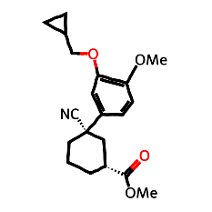 COC(=O)[C@@H]1CCC[C@@](C#N)(c2ccc(OC)c(OCC3CC3)c2)C1